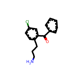 NCCCc1ccc(Cl)cc1C(=O)c1ccccc1